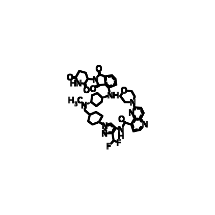 CN(CC1CCC(n2cc(NC(=O)c3ccnc4ccc(N5CCOCC5)nc34)c(C(F)F)n2)CC1)[C@H]1CC[C@H](Nc2cccc3c2C(=O)N(C2CCC(=O)NC2=O)C3=O)CC1